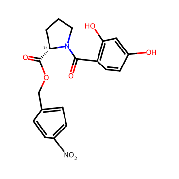 O=C(OCc1ccc([N+](=O)[O-])cc1)[C@@H]1CCCN1C(=O)c1ccc(O)cc1O